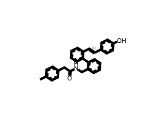 Cc1ccc(CC(=O)NCc2ccccc2-c2ccccc2/C=C/c2ccc(O)cc2)cc1